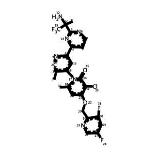 Cc1cnc(-c2ccnc(C(C)(N)C(F)(F)F)n2)cc1-n1c(C)cc(OCc2ncc(F)cc2F)c(Cl)c1=O